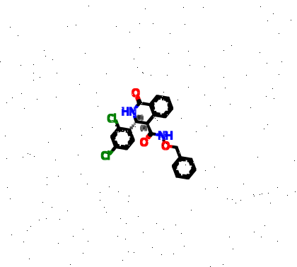 O=C1N[C@@H](c2ccc(Cl)cc2Cl)[C@H](C(=O)NOCc2ccccc2)c2ccccc21